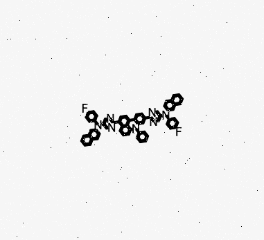 Fc1ccc(N(c2cnc(-c3ccc4c(c3)N(c3ccccc3)c3cccc5c(-c6ncc(N(c7ccc(F)cc7)c7ccc8ccccc8c7)cn6)ccc-4c35)nc2)c2ccc3ccccc3c2)cc1